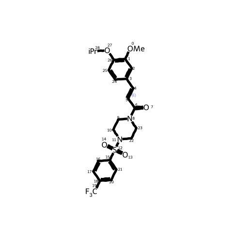 COc1cc(/C=C/C(=O)N2CCN(S(=O)(=O)c3ccc(C(F)(F)F)cc3)CC2)ccc1OC(C)C